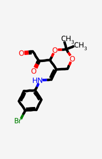 CC1(C)OCC(=CNc2ccc(Br)cc2)C(C(=O)C=O)O1